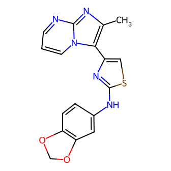 Cc1nc2ncccn2c1-c1csc(Nc2ccc3c(c2)OCO3)n1